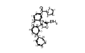 NC1=N[C@@]2(CO1)c1cc(C(=O)N3CCCC3)ccc1Oc1ccc(-c3cccnc3)cc12